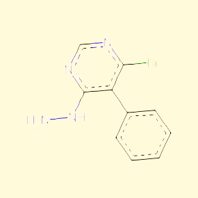 NNc1ncnc(Br)c1-c1ccccc1